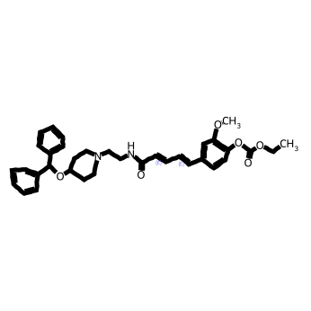 CCOC(=O)Oc1ccc(/C=C/C=C/C(=O)NCCN2CCC(OC(c3ccccc3)c3ccccc3)CC2)cc1OC